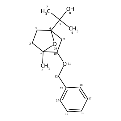 CC12CCC(C(C)(C)O)(CC1OCc1ccccc1)O2